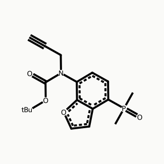 C#CCN(C(=O)OC(C)(C)C)c1ccc(P(C)(C)=O)c2ccoc12